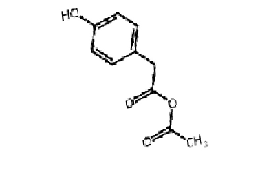 CC(=O)OC(=O)Cc1ccc(O)cc1